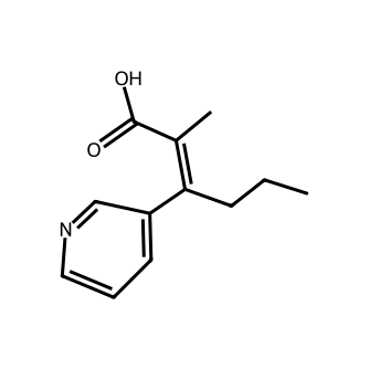 CCCC(=C(C)C(=O)O)c1cccnc1